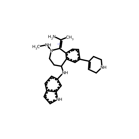 CNN1CCC(Nc2ccc3cc[nH]c3c2)c2cc(C3=CCNCC3)ccc2/C1=C(\C)N